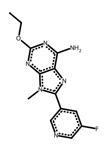 CCOc1nc(N)c2nc(-c3cncc(F)c3)n(C)c2n1